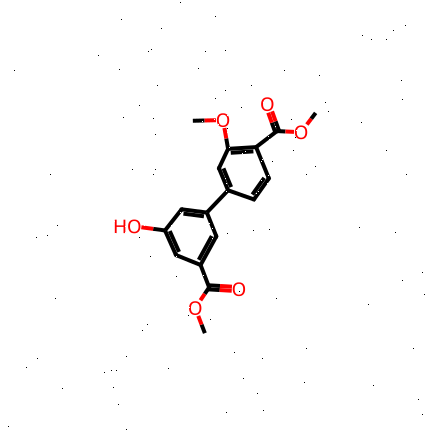 COC(=O)c1cc(O)cc(-c2ccc(C(=O)OC)c(OC)c2)c1